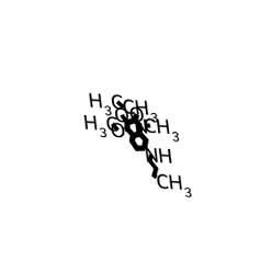 CCCCNc1ccc2c(OC)c(OC(C)C)c(=O)n(C)c2c1